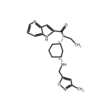 CCN(C(=O)c1cc2ncccc2[nH]1)[C@H]1CCC[C@@H](NCc2cc(C)no2)C1